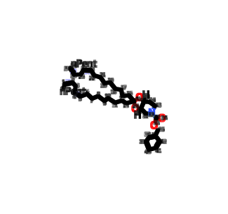 CCCCC/C=C\C/C=C\CCCCCCCCC1(CCCCCCCC/C=C\C/C=C\CCCCC)O[C@H]2CN(C(=O)OCc3ccccc3)CC[C@H]2O1